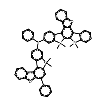 C[Si]1(C)c2cc(N(c3ccccc3)c3ccc4c(c3)[Si](C)(C)c3c5c(c6oc7ccccc7c6c3-4)-c3ccccc3[Si]5(C)C)ccc2-c2c1cc(-c1ccccc1)c1oc3ccccc3c21